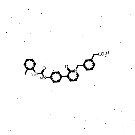 Cc1ccccc1NC(=O)Nc1ccc(-c2cccn(Cc3cccc(CC(=O)O)c3)c2=O)cc1